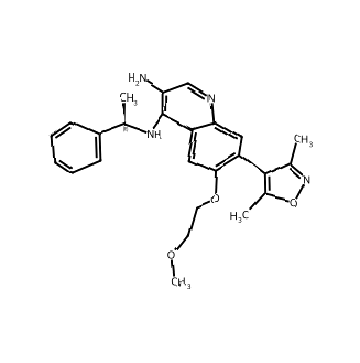 COCCOc1cc2c(N[C@H](C)c3ccccc3)c(N)cnc2cc1-c1c(C)noc1C